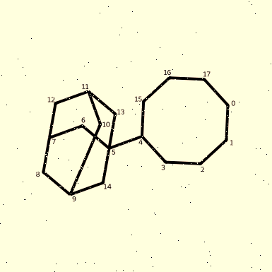 C1CCCC(C23CC4CC(CC(C4)C2)C3)CCC1